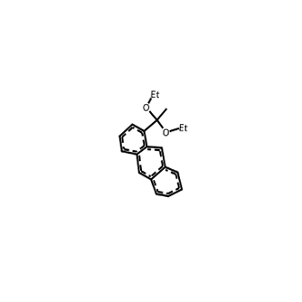 CCOC(C)(OCC)c1cccc2cc3ccccc3cc12